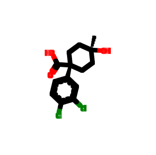 C[C@]1(O)CC[C@@](C(=O)O)(c2ccc(Cl)c(Cl)c2)CC1